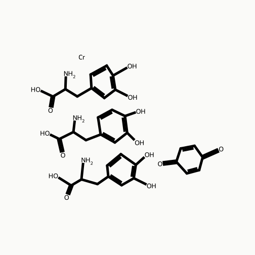 NC(Cc1ccc(O)c(O)c1)C(=O)O.NC(Cc1ccc(O)c(O)c1)C(=O)O.NC(Cc1ccc(O)c(O)c1)C(=O)O.O=C1C=CC(=O)C=C1.[Cr]